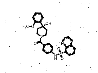 O=C(c1ccc(NS(=O)(=O)c2cccc3cccnc23)cc1)N1CCC(O)(c2ccccc2OC(F)(F)F)CC1